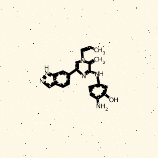 C=C1C(Nc2ccc(N)c(O)c2)=NC(c2ccc3cn[nH]c3c2)=CN1/C=C\C